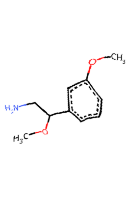 COc1cccc(C(CN)OC)c1